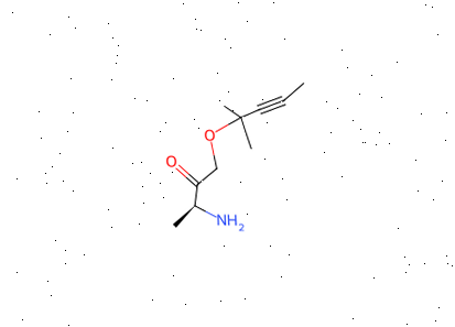 CC#CC(C)(C)OCC(=O)[C@H](C)N